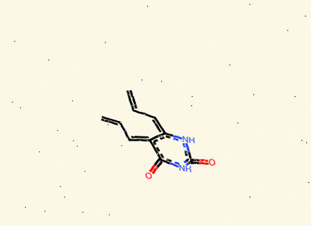 C=C/C=c1/[nH]c(=O)[nH]c(=O)/c1=C/C=C